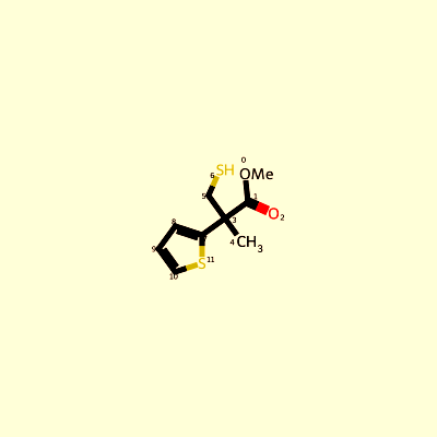 COC(=O)C(C)(CS)c1cccs1